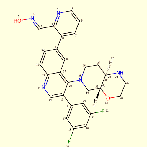 ON=Cc1ncccc1-c1ccc2ncc(-c3cc(F)cc(F)c3)c(N3CC[C@H]4NCCO[C@@H]4C3)c2c1